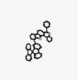 c1ccc(-c2nc3ccccc3c3c2ccc2c4cccc(-c5ccc6c(c5)C5(c7ccccc7-c7ccccc75)c5ccccc5-6)c4oc23)cc1